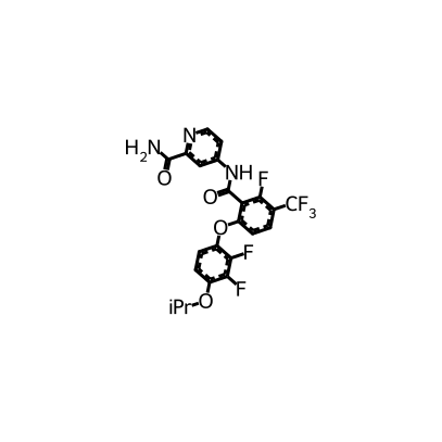 CC(C)Oc1ccc(Oc2ccc(C(F)(F)F)c(F)c2C(=O)Nc2ccnc(C(N)=O)c2)c(F)c1F